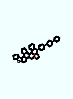 c1ccc(-c2ccc(-c3ccc(N(c4ccccc4)c4ccccc4-c4cccc5c6ccc7oc8ccccc8c7c6c6ccccc6c45)cc3)cc2)cc1